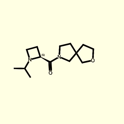 CC(C)N1CC[C@H]1C(=O)N1CCC2(CCOC2)C1